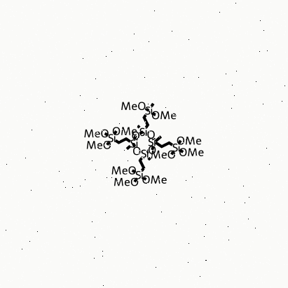 CO[Si](C)(CC[Si]1(C)O[Si](C)(CC[Si](OC)(OC)OC)O[Si](C)(CC[Si](OC)(OC)OC)O[Si](C)(CC[Si](OC)(OC)OC)O1)OC